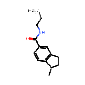 CC1CCc2cc(C(=O)NCCC(=O)O)ccc21